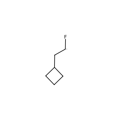 F[CH]CC1CCC1